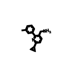 Cc1cccc(-c2nc(C3CC3)ccc2CN)c1